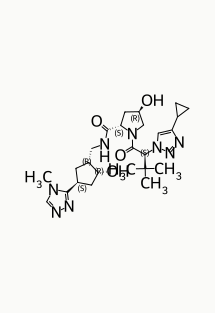 Cn1cnnc1[C@H]1C[C@H](CNC(=O)[C@@H]2C[C@@H](O)CN2C(=O)[C@@H](n2cc(C3CC3)nn2)C(C)(C)C)[C@H](O)C1